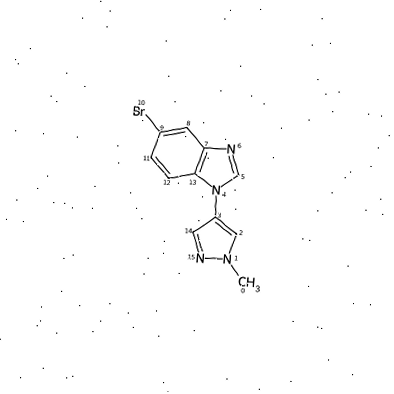 Cn1cc(-n2cnc3cc(Br)ccc32)cn1